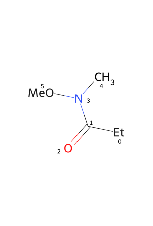 [CH2]CC(=O)N(C)OC